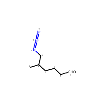 CC(CCCC=O)CN=[N+]=[N-]